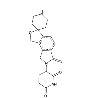 O=C1CCC(N2Cc3c(ccc4c3COC43CCNCC3)C2=O)C(=O)N1